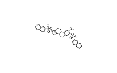 COc1cc2c(cc1OS(=O)(=O)c1ccc3ccccc3c1)CCC1C2CC[C@@]2(C)C1CC[C@@H]2OS(=O)(=O)c1ccc2ccccc2c1